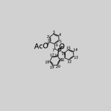 CC(=O)Oc1ccccc1CP(=O)(c1ccccc1)c1ccccc1